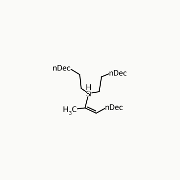 CCCCCCCCCCC=C(C)[SiH](CCCCCCCCCCCC)CCCCCCCCCCCC